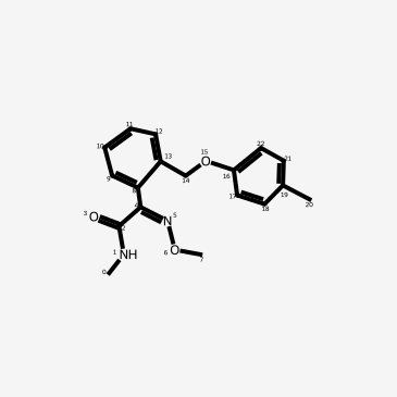 CNC(=O)/C(=N\OC)c1ccccc1COc1ccc(C)cc1